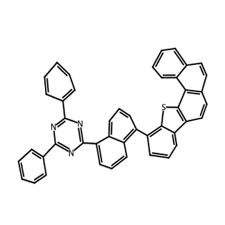 c1ccc(-c2nc(-c3ccccc3)nc(-c3cccc4c(-c5cccc6c5sc5c6ccc6ccc7ccccc7c65)cccc34)n2)cc1